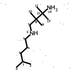 CC(C)CCCNCC(C)(C)C(C)(C)N